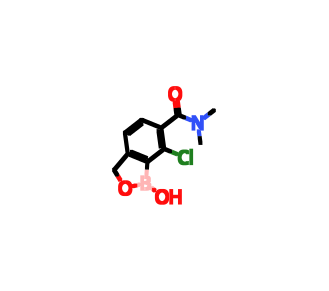 CN(C)C(=O)c1ccc2c(c1Cl)B(O)OC2